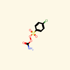 NC(=O)OOS(=O)(=O)c1ccc(Cl)cc1